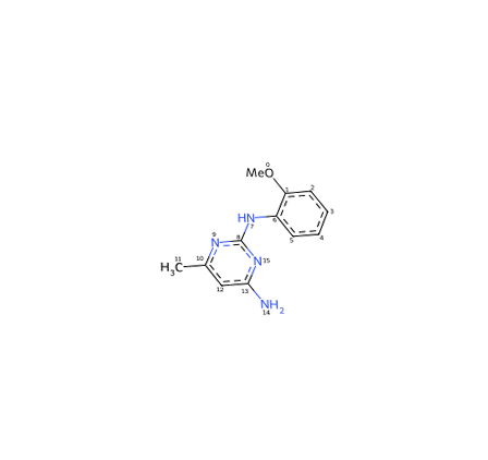 COc1ccccc1Nc1nc(C)cc(N)n1